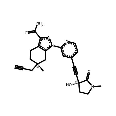 C#CC[C@]1(C)CCc2c(C(N)=O)nn(-c3cc(C#C[C@]4(O)CCN(C)C4=O)ccn3)c2C1